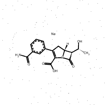 C[C@@H](O)[C@H]1C(=O)N2C(C(=O)O)=C(c3cccc(C(N)=O)c3)C[C@H]12.[Na]